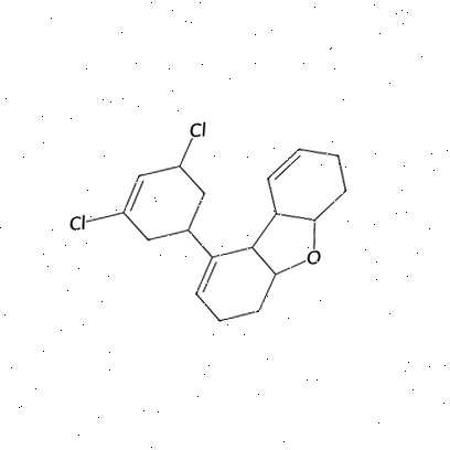 ClC1=CC(Cl)CC(C2=CCCC3OC4CCC=CC4C23)C1